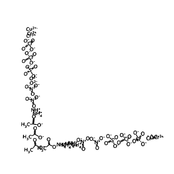 CC(=O)[O-].CC(=O)[O-].CC(=O)[O-].CC(=O)[O-].O=S(=O)([O-])[O-].O=S(=O)([O-])[O-].O=[N+]([O-])[O-].O=[N+]([O-])[O-].O=[N+]([O-])[O-].O=[N+]([O-])[O-].[Cr+3].[Cr+3].[Cr+3].[Cr+3].[Cr+3].[Cu+2].[NH4+].[NH4+].[NH4+].[NH4+].[NH4+].[NH4+].[NH4+].[O-2].[O-2].[O]=[Cr](=[O])([O-])[O-].[O]=[Cr](=[O])([O-])[O-].[O]=[Cr](=[O])([O-])[O-].[O]=[Cr](=[O])([O-])[O-]